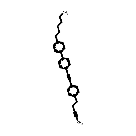 CC#CCCc1ccc(C#Cc2ccc(-c3ccc(CCCCCC)cc3)cc2)cc1